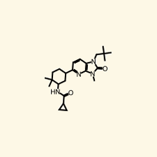 Cn1c(=O)n(CC(C)(C)C)c2ccc(C3CCC(C)(C)C(NC(=O)C4CC4)C3)nc21